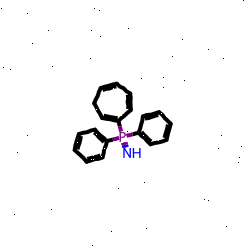 N=P(C1=CCC=CC=C1)(c1ccccc1)c1ccccc1